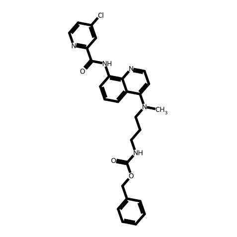 CN(CCCNC(=O)OCc1ccccc1)c1ccnc2c(NC(=O)c3cc(Cl)ccn3)cccc12